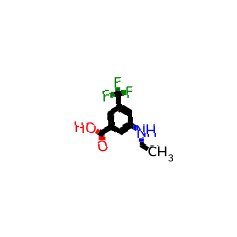 CCNc1cc(C(=O)O)cc(C(F)(F)F)c1